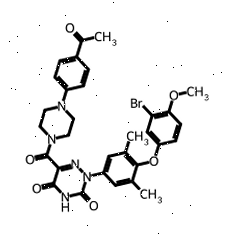 COc1ccc(Oc2c(C)cc(-n3nc(C(=O)N4CCN(c5ccc(C(C)=O)cc5)CC4)c(=O)[nH]c3=O)cc2C)cc1Br